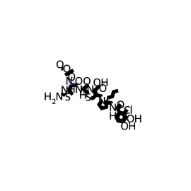 CCCC[C@@]1(CNC(=O)c2ccc(O)c(O)c2Cl)CCCN1CC1=C(C(=O)O)N2C(=O)[C@@H](NC(=O)/C(=N\OC(C)(C)OC=O)c3csc(N)n3)[C@H]2SC1